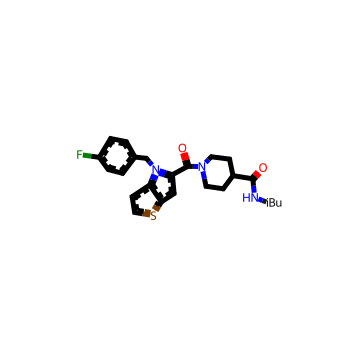 CCC(C)NC(=O)C1CCN(C(=O)c2cc3sccc3n2Cc2ccc(F)cc2)CC1